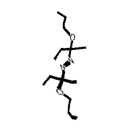 CCCOC(C)(CC)N=NC(C)(CC)OCCC